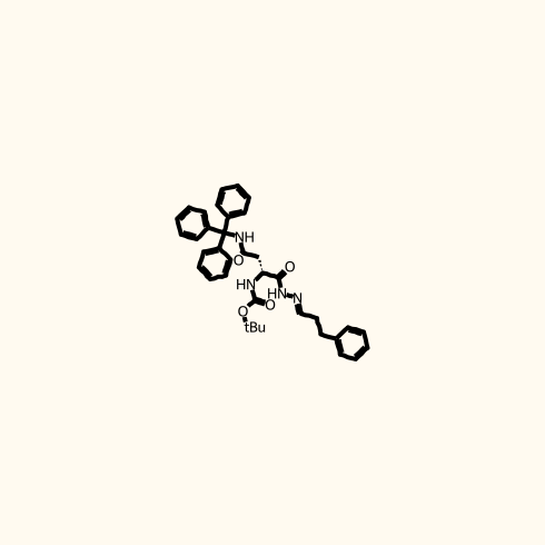 CC(C)(C)OC(=O)N[C@H](CC(=O)NC(c1ccccc1)(c1ccccc1)c1ccccc1)C(=O)N/N=C/CCc1ccccc1